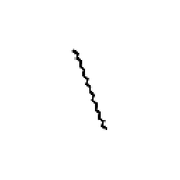 C=CC=CCCCCCCC=CCCCCCCCC